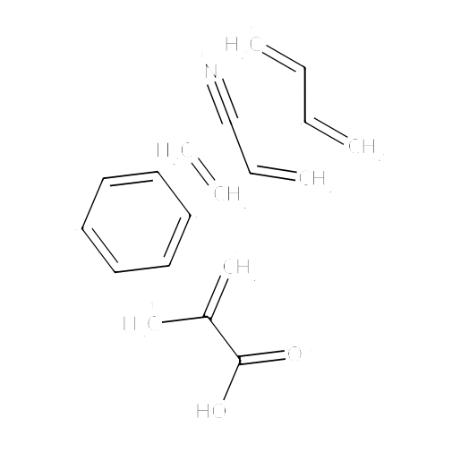 C=C.C=C(C)C(=O)O.C=CC#N.C=CC=C.c1ccccc1